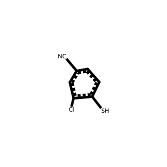 N#Cc1ccc(S)c(Cl)c1